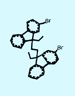 CCC1(CCC2(CC)c3ccccc3-c3ccc(Br)cc32)c2ccccc2-c2ccc(Br)cc21